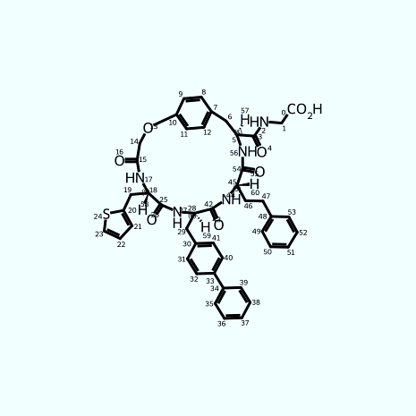 O=C(O)CNC(=O)[C@@H]1Cc2ccc(cc2)OCC(=O)N[C@@H](Cc2cccs2)C(=O)N[C@H](Cc2ccc(-c3ccccc3)cc2)C(=O)N[C@@H](CCc2ccccc2)C(=O)N1